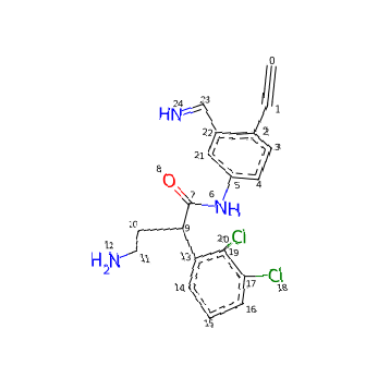 C#Cc1ccc(NC(=O)C(CCN)c2cccc(Cl)c2Cl)cc1C=N